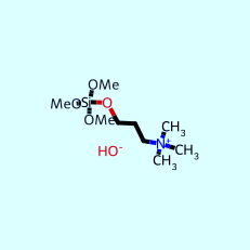 CO[Si](OC)(OC)OCCC[N+](C)(C)C.[OH-]